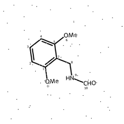 COc1cccc(OC)c1CN[C]=O